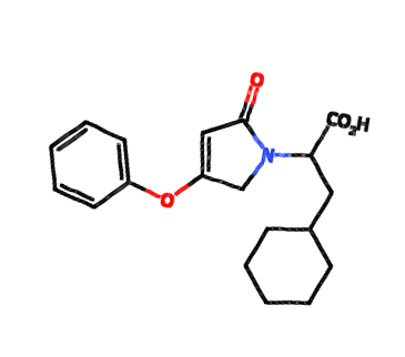 O=C(O)C(CC1CCCCC1)N1CC(Oc2ccccc2)=CC1=O